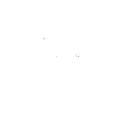 CCOc1cc(O)ccn1